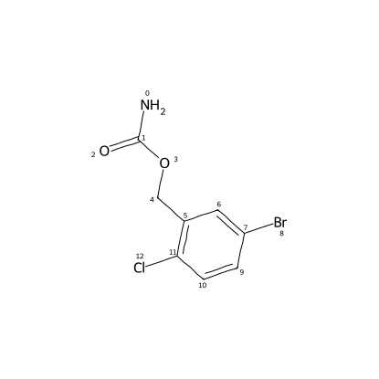 NC(=O)OCc1cc(Br)ccc1Cl